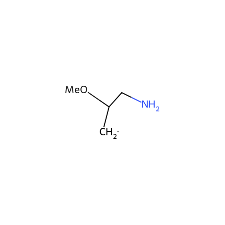 [CH2]C(CN)OC